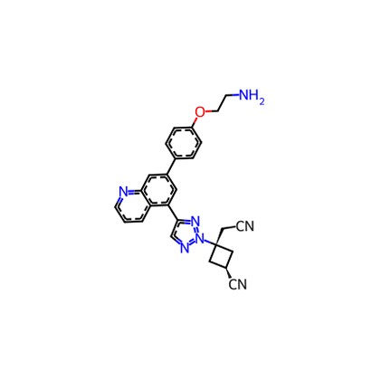 N#CC[C@]1(n2ncc(-c3cc(-c4ccc(OCCN)cc4)cc4ncccc34)n2)C[C@H](C#N)C1